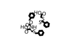 O=C(N[C@@H](CSCc1ccccc1)C(=O)O)OCc1ccccc1.O=C(O)CSC(=S)c1ccccc1